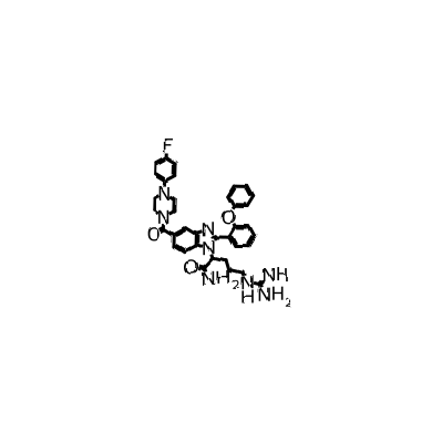 N=C(N)NCCCC(C(N)=O)n1c(-c2ccccc2Oc2ccccc2)nc2cc(C(=O)N3CCN(c4ccc(F)cc4)CC3)ccc21